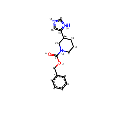 O=C(OCc1ccccc1)N1CCCC(c2cnc[nH]2)C1